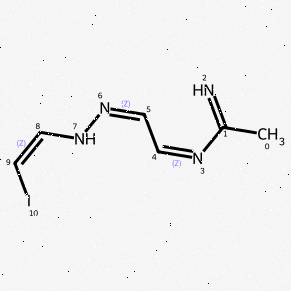 CC(=N)/N=C\C=N/N/C=C\I